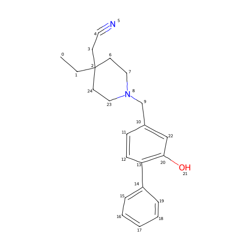 CCC1(CC#N)CCN(Cc2ccc(-c3ccccc3)c(O)c2)CC1